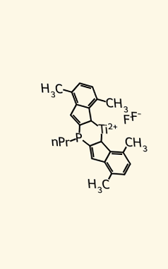 CCCP1C2=Cc3c(C)ccc(C)c3[CH]2[Ti+2][CH]2C1=Cc1c(C)ccc(C)c12.[F-].[F-]